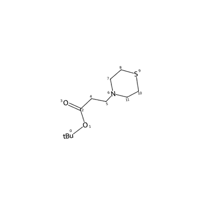 CC(C)(C)OC(=O)CCN1CCSCC1